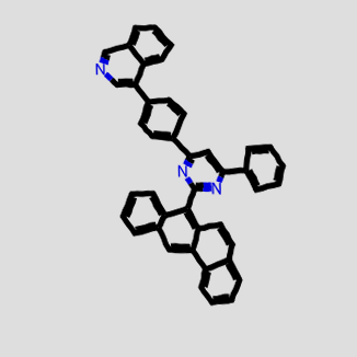 c1ccc(-c2cc(-c3ccc(-c4cncc5ccccc45)cc3)nc(-c3c4ccccc4cc4c3ccc3ccccc34)n2)cc1